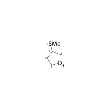 CSC1C[CH]OC1